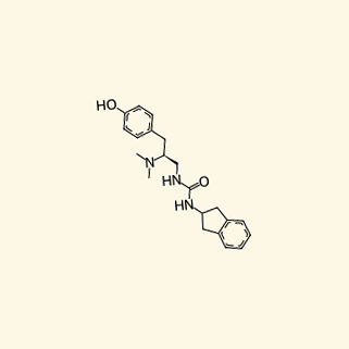 CN(C)[C@H](CNC(=O)NC1Cc2ccccc2C1)Cc1ccc(O)cc1